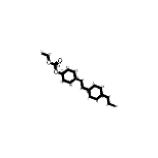 CCCC1CCC(CCC2CCC(OC(=O)OCC)CC2)CC1